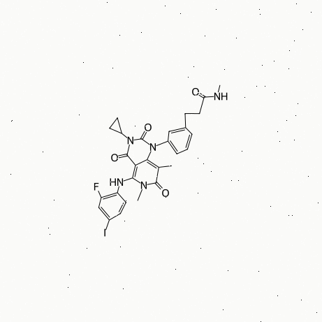 CNC(=O)CCc1cccc(-n2c(=O)n(C3CC3)c(=O)c3c(Nc4ccc(I)cc4F)n(C)c(=O)c(C)c32)c1